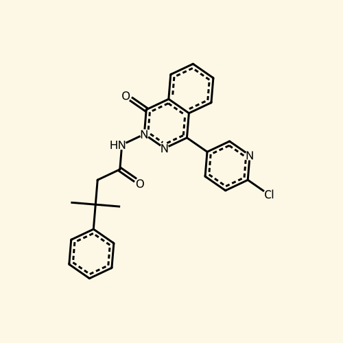 CC(C)(CC(=O)Nn1nc(-c2ccc(Cl)nc2)c2ccccc2c1=O)c1ccccc1